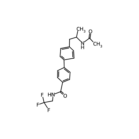 CC(=O)NC(C)Cc1ccc(-c2ccc(C(=O)NCC(F)(F)F)cc2)cc1